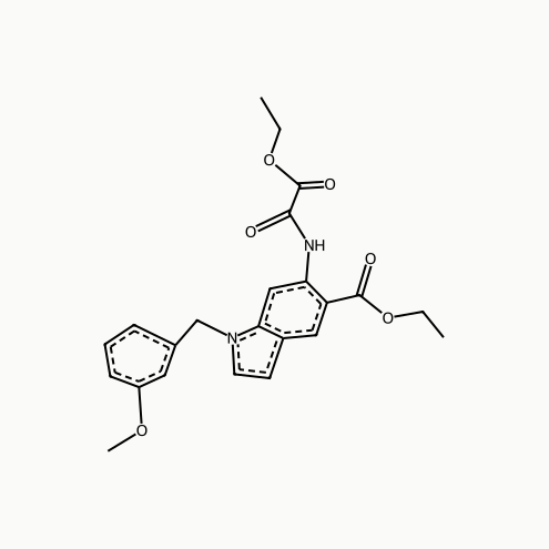 CCOC(=O)C(=O)Nc1cc2c(ccn2Cc2cccc(OC)c2)cc1C(=O)OCC